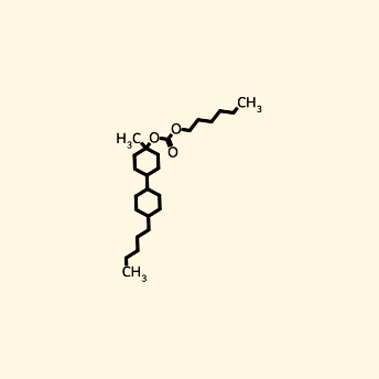 CCCCCCOC(=O)OC1(C)CCC(C2CCC(CCCCC)CC2)CC1